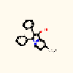 O=C(O)c1ccn2c(-c3ccccc3)c(-c3ccccc3)c(O)c2c1